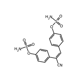 N#CC(=Cc1ccc(OS(N)(=O)=O)cc1)c1ccc(OS(N)(=O)=O)cc1